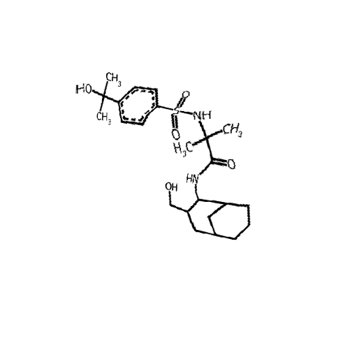 CC(C)(NS(=O)(=O)c1ccc(C(C)(C)O)cc1)C(=O)NC1C(CO)CC2CCCC1C2